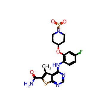 Cc1c(C(N)=O)sc2ncnc(Nc3ccc(F)cc3OC3CCN([SH](=O)=O)CC3)c12